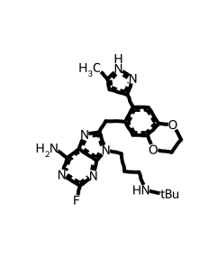 Cc1cc(-c2cc3c(cc2Cc2nc4c(N)nc(F)nc4n2CCCNC(C)(C)C)OCCO3)n[nH]1